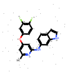 N#Cc1cc(Oc2ccc(F)c(F)c2)cc(Nc2ccc3cc[nH]c3c2)n1